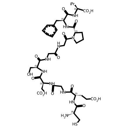 CC(C)[C@H](NC(=O)[C@H](Cc1ccccc1)NC(=O)[C@@H]1CCCN1C(=O)CNC(=O)CNC(=O)[C@H](CO)NC(=O)[C@H](CC(=O)O)NC(=O)CNC(=O)[C@H](CCC(=O)O)NC(=O)[C@@H](N)CS)C(=O)O